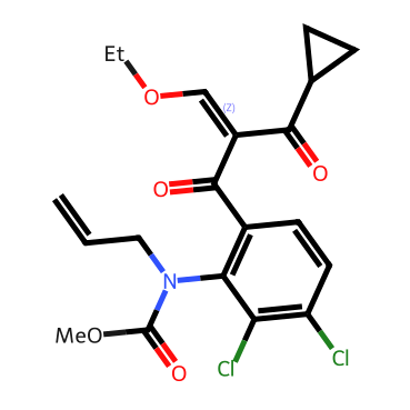 C=CCN(C(=O)OC)c1c(C(=O)/C(=C\OCC)C(=O)C2CC2)ccc(Cl)c1Cl